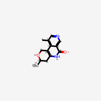 Cc1cncc2c(=O)[nH]c3c(c12)COC(C(C)(C)C)C3